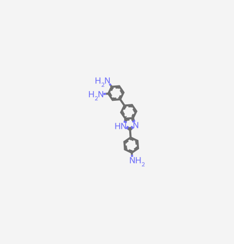 Nc1ccc(-c2nc3ccc(-c4ccc(N)c(N)c4)cc3[nH]2)cc1